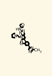 Cc1cncc(-c2ccc(-c3cc4cnc(N[C@@H]5CCOC5)nc4n(CCN4CCCC4)c3=O)c(Cl)c2)n1